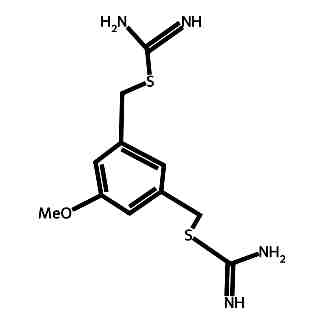 COc1cc(CSC(=N)N)cc(CSC(=N)N)c1